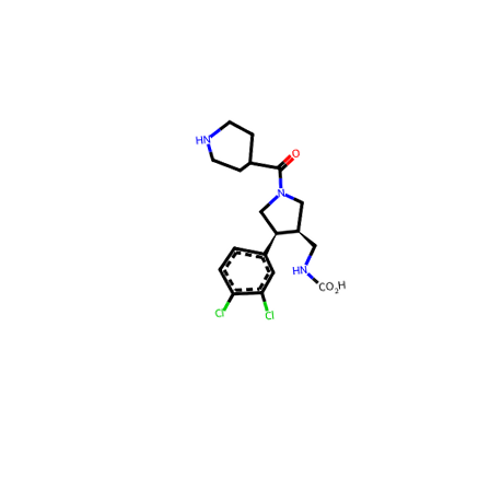 O=C(O)NC[C@@H]1CN(C(=O)C2CCNCC2)C[C@@H]1c1ccc(Cl)c(Cl)c1